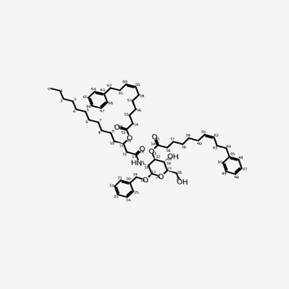 CCCCCCCCCCC[C@H](CC(=O)N[C@H]1[C@H](OCc2ccccc2)O[C@H](CO)[C@@H](O)[C@@H]1OC(=O)CCCCC/C=C\CCc1ccccc1)OC(=O)CCCCC/C=C\CCc1ccccc1